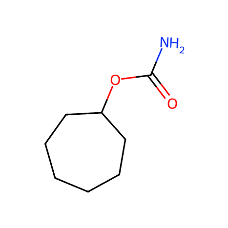 NC(=O)OC1CCCCCC1